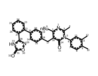 CCCCc1nc(C)n(-c2ccc(C)c(C)c2)c(=O)c1Cc1ccc(-c2ccccc2-c2noc(=O)[nH]2)cc1